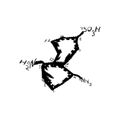 Nc1ccc(N)c2cc(S(=O)(=O)O)ccc12